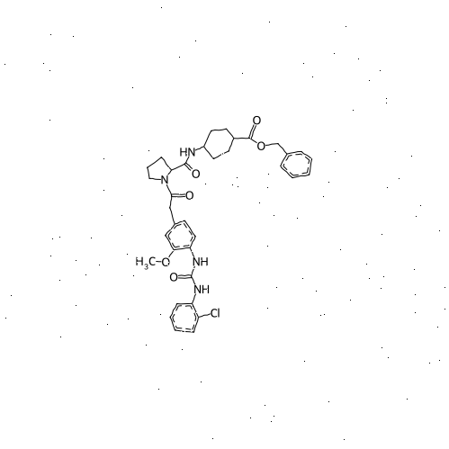 COc1cc(CC(=O)N2CCCC2C(=O)NC2CCC(C(=O)OCc3ccccc3)CC2)ccc1NC(=O)Nc1ccccc1Cl